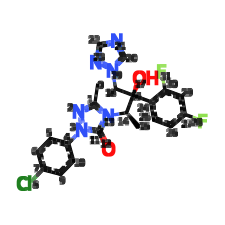 Cc1nn(-c2ccc(Cl)cc2)c(=O)n1[C@H](C)[C@](O)(Cn1cncn1)c1ccc(F)cc1F